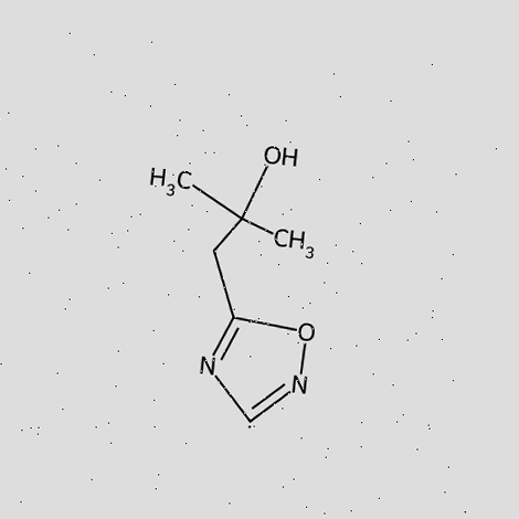 CC(C)(O)Cc1n[c]no1